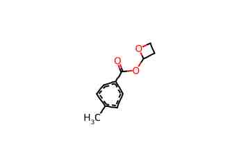 Cc1ccc(C(=O)OC2CCO2)cc1